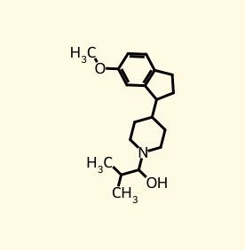 COc1ccc2c(c1)C(C1CCN(C(O)C(C)C)CC1)CC2